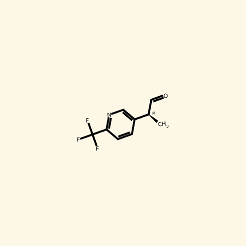 C[C@H](C=O)c1ccc(C(F)(F)F)nc1